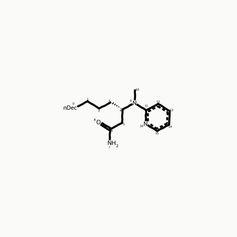 CCCCCCCCCCCCC[C@@H](CC(N)=O)N(C)c1ccccn1